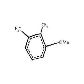 COc1c[c]cc(C(F)(F)F)c1C(F)(F)F